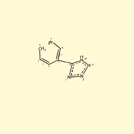 C/C=C\C(=C/C(C)C)c1nnn[nH]1